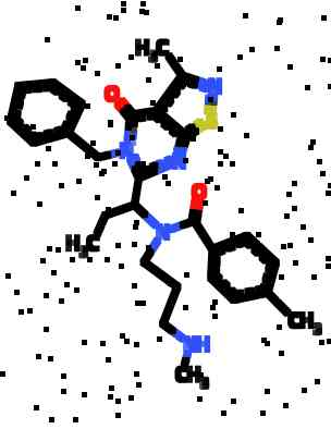 CCC(c1nc2snc(C)c2c(=O)n1Cc1ccccc1)N(CCCNC)C(=O)c1ccc(C)cc1